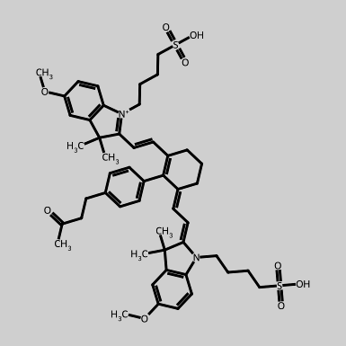 COc1ccc2c(c1)C(C)(C)C(/C=C/C1=C(c3ccc(CCC(C)=O)cc3)C(=C/C=C3/N(CCCCS(=O)(=O)O)c4ccc(OC)cc4C3(C)C)/CCC1)=[N+]2CCCCS(=O)(=O)O